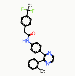 CCc1ccccc1-c1nccnc1-c1ccc(NC(=O)Cc2ccc(C(F)(F)CC)cc2)cc1